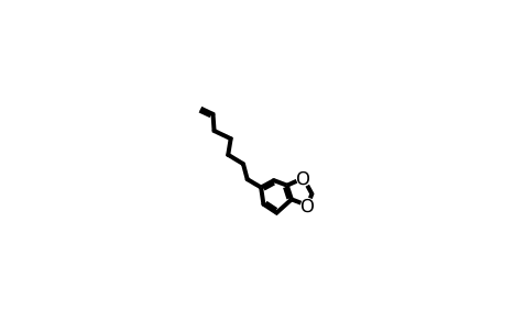 C=CCCCCCc1ccc2c(c1)OCO2